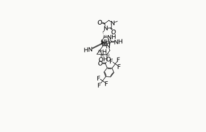 CN1CC(=O)N(C[C@@H]2NC(=N)N3C[C@H](OC(=O)c4cc(C(F)(F)F)ccc4C(F)(F)F)[C@@]4(O)C[C@H]4C34NC(=N)NC24)C1=O